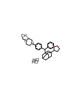 CCN1CCN(c2ccc(C(c3ccccc3)C34CC5CC(CC(C6CCCC6)(C5)C3)C4)cc2)CC1.Cl.Cl